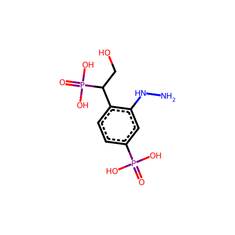 NNc1cc(P(=O)(O)O)ccc1C(CO)P(=O)(O)O